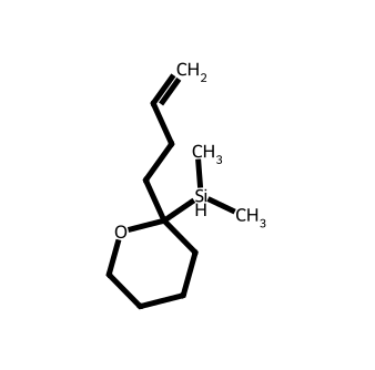 C=CCCC1([SiH](C)C)CCCCO1